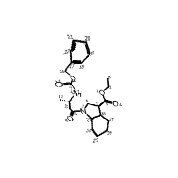 CCOC(=O)C1CN(C(=O)[C@H](C)NC(=O)OCc2ccccc2)C2CCCCC12